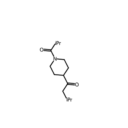 CC(C)CC(=O)C1CCN(C(=O)C(C)C)CC1